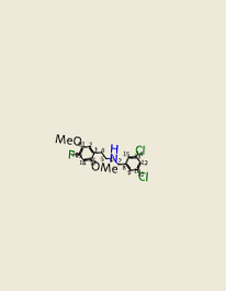 COc1cc(CCNCc2cc(Cl)cc(Cl)c2)c(OC)cc1F